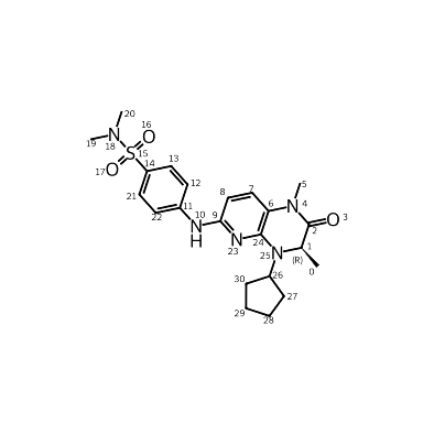 C[C@@H]1C(=O)N(C)c2ccc(Nc3ccc(S(=O)(=O)N(C)C)cc3)nc2N1C1CCCC1